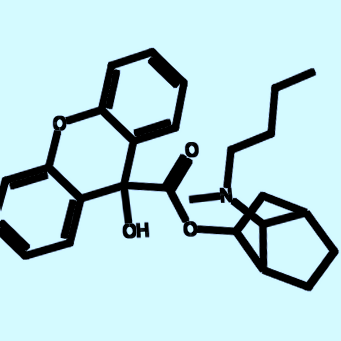 CCCCN(C)C1C2CCC1C(OC(=O)C1(O)c3ccccc3Oc3ccccc31)C2